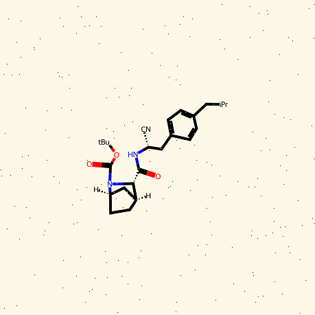 CC(C)Cc1ccc(C[C@@H](C#N)NC(=O)[C@@H]2[C@H]3CC[C@H](C3)N2C(=O)OC(C)(C)C)cc1